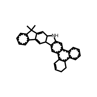 CC1(C)C2=CC3Nc4cc5c(cc4C3C=C2c2ccccc21)c1c(c2ccccc25)CCC=C1